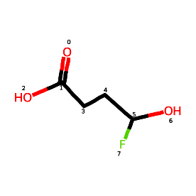 O=C(O)CCC(O)F